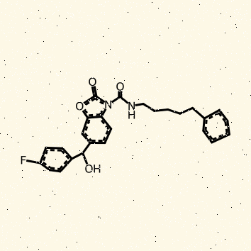 O=C(NCCCCCc1ccccc1)n1c(=O)oc2cc(C(O)c3ccc(F)cc3)ccc21